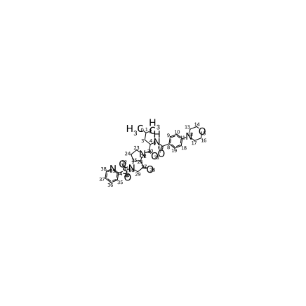 CC(C)CC(NC(=O)c1ccc(N2CCOCC2)cc1)C(=O)N1CCC2C1C(=O)CN2S(=O)(=O)c1ccccn1